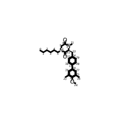 CCCCCCN1CC(=O)N(C)[C@@H](Cc2ccc(-c3cc(C)c(OC)c(C)c3)cc2)C1=O